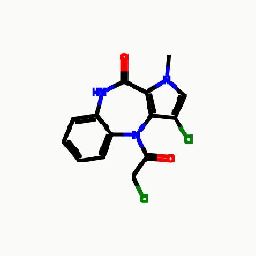 Cn1cc(Cl)c2c1C(=O)Nc1ccccc1N2C(=O)CCl